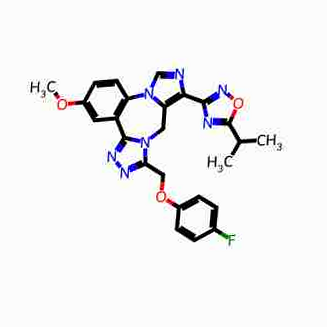 COc1ccc2c(c1)-c1nnc(COc3ccc(F)cc3)n1Cc1c(-c3noc(C(C)C)n3)ncn1-2